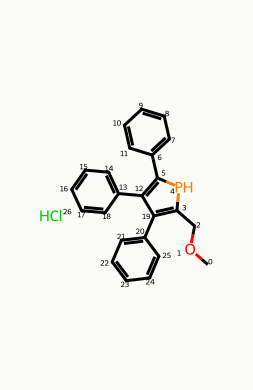 COCc1[pH]c(-c2ccccc2)c(-c2ccccc2)c1-c1ccccc1.Cl